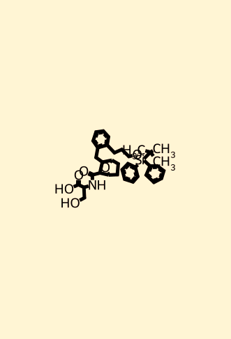 CC(C)(C)[Si](OCCCc1ccccc1CC1C2CCC(O2)C1C(=O)NC(CO)C(=O)O)(c1ccccc1)c1ccccc1